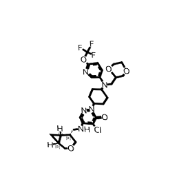 O=c1c(Cl)c(NC[C@@H]2COC[C@@H]3C[C@H]23)cnn1C1CCC(N(CC2COCCO2)c2ccc(OC(F)(F)F)nc2)CC1